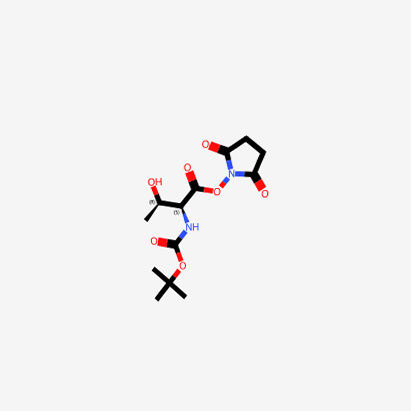 C[C@@H](O)[C@H](NC(=O)OC(C)(C)C)C(=O)ON1C(=O)CCC1=O